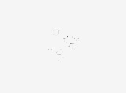 CC(C)c1cccc(C2(NC[C@@H](O)[C@@H]3Cc4cccc(c4)OCCCCNc4cc(cc(C(=O)N(C)C)c4)C(=O)N3)CC2)c1